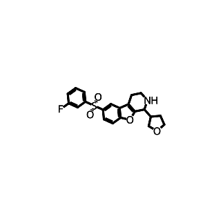 O=S(=O)(c1cccc(F)c1)c1ccc2oc3c(c2c1)CCNC3C1CCOC1